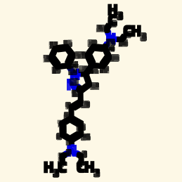 CCN(CC)c1ccc(C=CC2=NN(c3ccccc3)C(c3ccc(N(CC)CC)cc3)C2)cc1